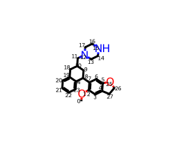 COc1cc2c(cc1C1CC(CN3CCNCC3)Cc3ccccc31)OCC2